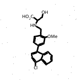 COc1cc(-c2ccc(Cl)c3ccccc23)ccc1CNC(CO)C(=O)O